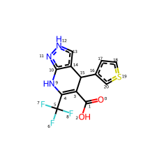 O=C(O)C1=C(C(F)(F)F)Nc2n[nH]cc2C1c1ccsc1